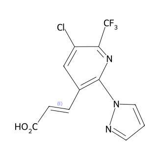 O=C(O)/C=C/c1cc(Cl)c(C(F)(F)F)nc1-n1cccn1